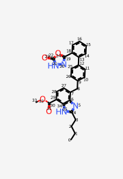 CCCCc1nc2c(Cc3ccc(-c4ccccc4-c4n[nH]c(=O)o4)cc3)ccc(C(=O)OC)c2[nH]1